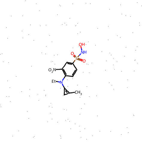 CCN(C1=C(C)C1)c1ccc(S(=O)(=O)NO)cc1[N+](=O)[O-]